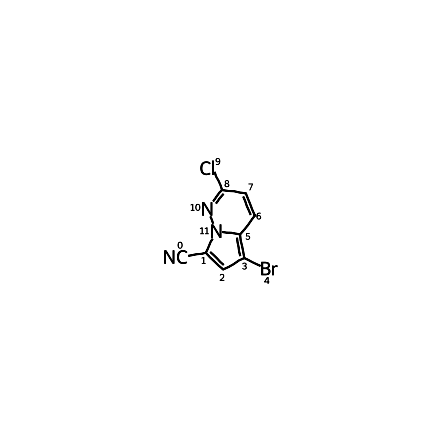 N#Cc1cc(Br)c2ccc(Cl)nn12